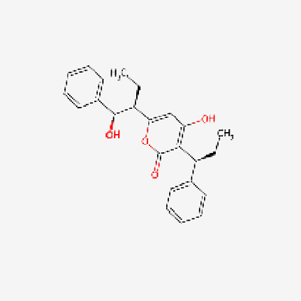 CC[C@@H](c1ccccc1)c1c(O)cc([C@H](CC)[C@@H](O)c2ccccc2)oc1=O